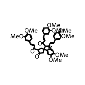 COc1ccc(/C=C/C(=O)C2CC(c3ccc(OC)c(OC)c3)(C(C(=O)/C=C/c3ccc(OC)c(OC)c3)C(=O)/C=C/c3ccc(OC)c(OC)c3)CC2=O)cc1OC